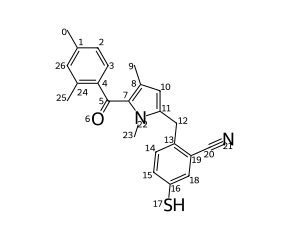 Cc1ccc(C(=O)c2c(C)cc(Cc3ccc(S)cc3C#N)n2C)c(C)c1